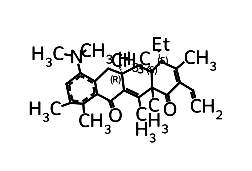 C=CC1=C(C)[C@@H](CC)[C@]2(C)C[C@]3(C)Cc4c(N(C)C)cc(C)c(C)c4C(=O)C3=C(C)C2(C)C1=O